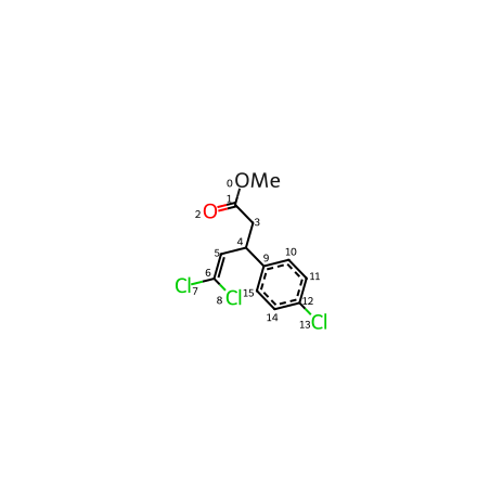 COC(=O)CC(C=C(Cl)Cl)c1ccc(Cl)cc1